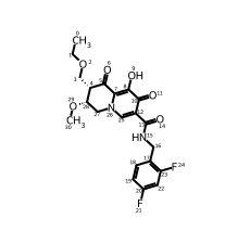 CCOC[C@@H]1C(=O)c2c(O)c(=O)c(C(=O)NCc3ccc(F)cc3F)cn2C[C@@H]1OC